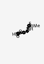 COc1cc([C@@H](C)N[C@H]2CC[C@@H](c3ccc(CC(=O)N4CCNC(=O)C4)cc3)C2)ccc1F